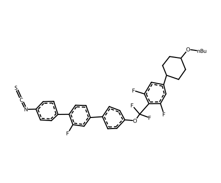 CCCCOC1CCC(c2cc(F)c(C(F)(F)Oc3ccc(-c4ccc(-c5ccc(N=C=S)cc5)c(F)c4)cc3)c(F)c2)CC1